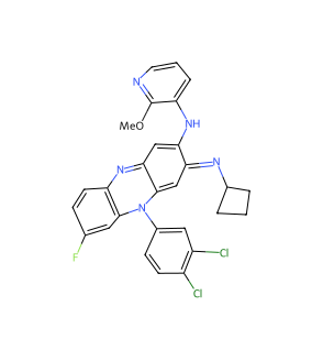 COc1ncccc1Nc1cc2nc3ccc(F)cc3n(-c3ccc(Cl)c(Cl)c3)c-2c/c1=N\C1CCC1